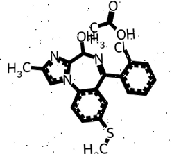 CC(=O)O.CSc1ccc2c(c1)C(c1ccccc1Cl)=NC(O)c1nc(C)cn1-2